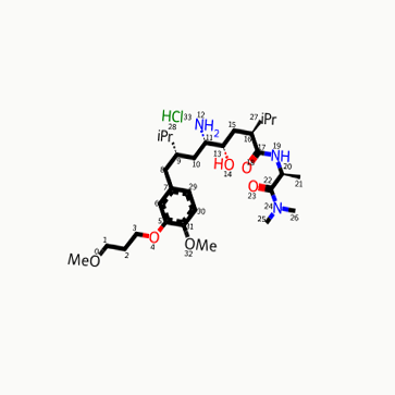 COCCCOc1cc(C[C@@H](C[C@H](N)[C@@H](O)C[C@H](C(=O)N[C@@H](C)C(=O)N(C)C)C(C)C)C(C)C)ccc1OC.Cl